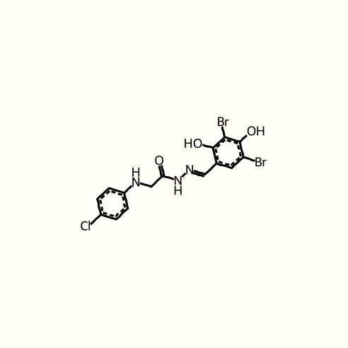 O=C(CNc1ccc(Cl)cc1)N/N=C/c1cc(Br)c(O)c(Br)c1O